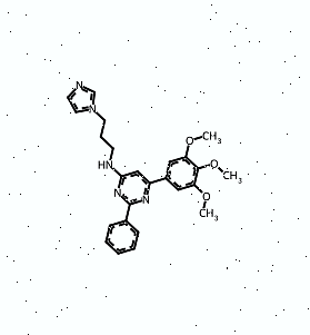 COc1cc(-c2cc(NCCCn3ccnc3)nc(-c3ccccc3)n2)cc(OC)c1OC